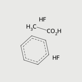 CC(=O)O.F.F.c1ccccc1